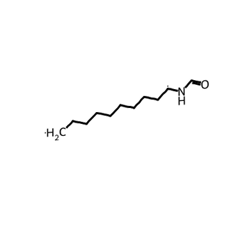 [CH2]CCCCCCCC[CH]NC=O